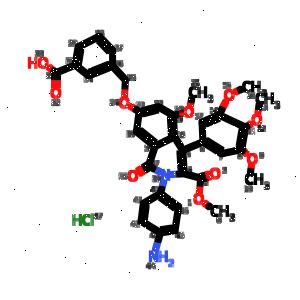 COC(=O)c1c(-c2cc(OC)c(OC)c(OC)c2)c2c(OC)cc(OCc3cccc(C(=O)O)c3)cc2c(=O)n1-c1ccc(N)cc1.Cl